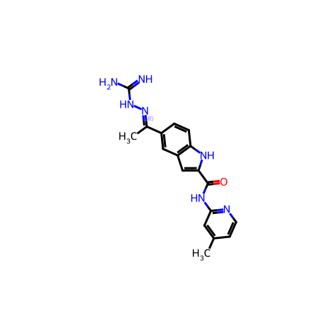 C/C(=N\NC(=N)N)c1ccc2[nH]c(C(=O)Nc3cc(C)ccn3)cc2c1